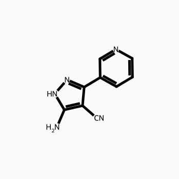 N#Cc1c(-c2cccnc2)n[nH]c1N